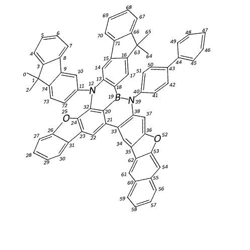 CC1(C)c2ccccc2-c2cc(N3c4cc5c(cc4B4c6c(cc7c(oc8ccccc87)c63)-c3cc6c(cc3N4c3ccc(-c4ccccc4)cc3)oc3cc4ccccc4cc36)C(C)(C)c3ccccc3-5)ccc21